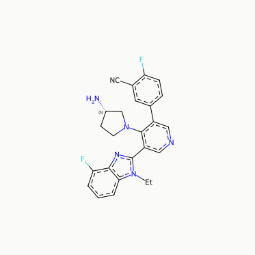 CCn1c(-c2cncc(-c3ccc(F)c(C#N)c3)c2N2CC[C@H](N)C2)nc2c(F)cccc21